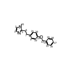 Cn1ccnc1CCc1ccc(OCc2ccccc2)cc1